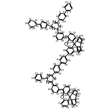 c1ccc(-c2ccc(-c3nc(-c4ccc(-c5ccccc5)cc4)nc(-c4cccc(-c5cccc6c5Oc5cc(-c7ccc(-c8ccc(-c9nc(-c%10ccccc%10)nc(-c%10cccc(-c%11cccc%12c%11Oc%11ccccc%11C%12%11c%12ccccc%12-c%12ccccc%12%11)c%10)n9)cc8)cc7)ccc5C65c6ccccc6-c6ccccc65)c4)n3)cc2)cc1